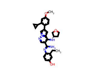 CCc1cc(O)ccc1/N=C(\N)c1cnn2cc(-c3ccc(OC)cc3C3CC3)cc2c1N[C@H]1CCOC1